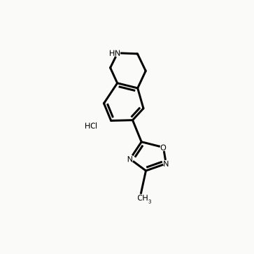 Cc1noc(-c2ccc3c(c2)CCNC3)n1.Cl